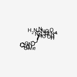 COc1ccccc1OC(=O)N1CCC(CC#Cc2nc(N)c3ncn([C@@H]4O[C@H](C(=O)NC5CC5)[C@H](O)C4O)c3n2)CC1